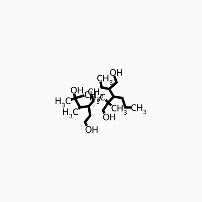 CCC(CCO)C(C)C(C)(C)O.CCCC(C(CC)CO)C(C)(C)CO